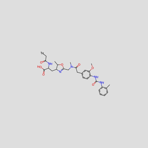 [3H]CC(=O)NC(CC1N=C(CN(C)C(=O)Cc2ccc(NC(=O)Nc3ccccc3C)c(OC)c2)OC1C)C(=O)O